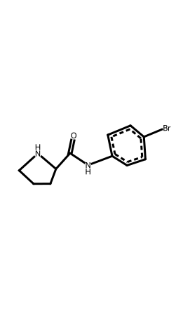 O=C(Nc1ccc(Br)cc1)C1CCCN1